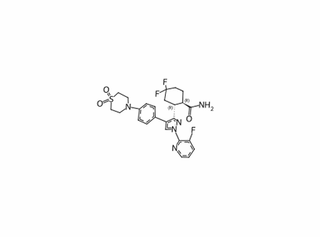 NC(=O)[C@@H]1CCC(F)(F)C[C@H]1c1nn(-c2ncccc2F)cc1-c1ccc(N2CCS(=O)(=O)CC2)cc1